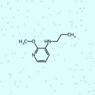 CCCNc1cccnc1OC